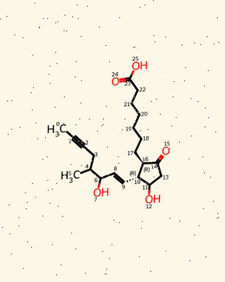 CC#CCC(C)C(O)C=C[C@H]1C(O)CC(=O)[C@@H]1CCCCCCC(=O)O